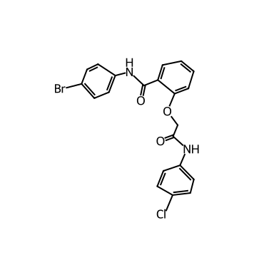 O=C(COc1ccccc1C(=O)Nc1ccc(Br)cc1)Nc1ccc(Cl)cc1